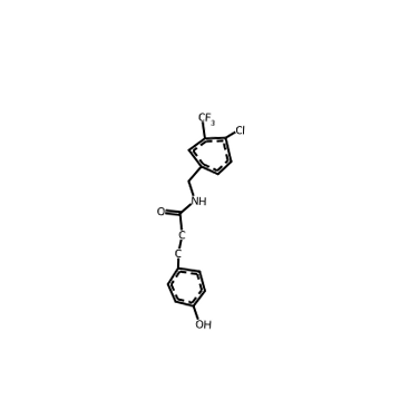 O=C(CCc1ccc(O)cc1)NCc1ccc(Cl)c(C(F)(F)F)c1